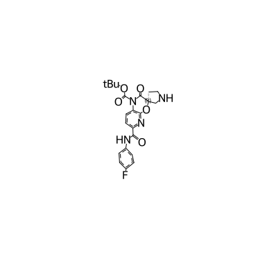 CC(C)(C)OC(=O)N1C(=O)[C@]2(CCNC2)Oc2nc(C(=O)Nc3ccc(F)cc3)ccc21